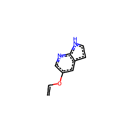 C=COc1cnc2[nH]ccc2c1